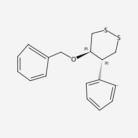 [c]1ccccc1[C@H]1CSSC[C@@H]1OCc1ccccc1